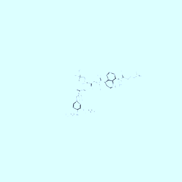 COc1ccc(CNC(=O)C(=O)[C@@H]2CC(F)(F)CN2C(=O)CNC(=O)c2ccnc3c(NC(=O)CCCN(C)C)cccc23)cc1OC